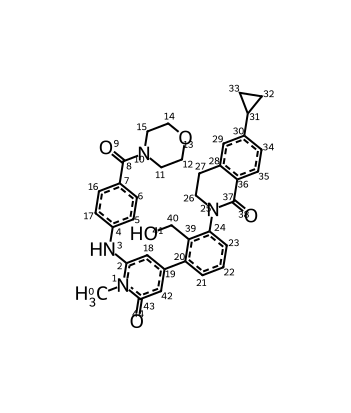 Cn1c(Nc2ccc(C(=O)N3CCOCC3)cc2)cc(-c2cccc(N3CCc4cc(C5CC5)ccc4C3=O)c2CO)cc1=O